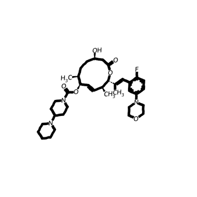 C/C(=C\c1cc(N2CCOCC2)ccc1F)[C@H]1OC(=O)C[C@H](O)CC[C@H](C)[C@H](OC(=O)N2CCC(N3CCCCC3)CC2)/C=C/[C@@H]1C